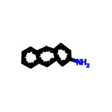 Nc1ccc2[c]c3ccccc3cc2c1